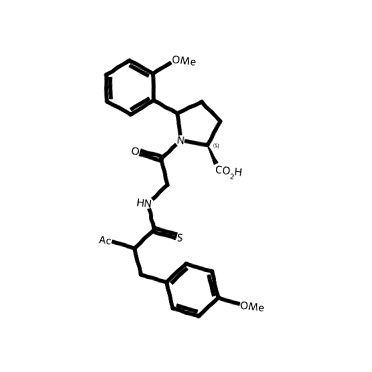 COc1ccc(CC(C(C)=O)C(=S)NCC(=O)N2C(c3ccccc3OC)CC[C@H]2C(=O)O)cc1